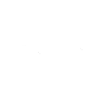 N#CCCCSC(=S)NCC1CCCO1